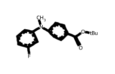 CN(c1ccc(C(=O)OC(C)(C)C)cc1)c1cccc(F)c1